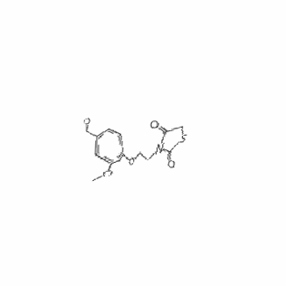 COc1cc(C=O)ccc1OCCN1C(=O)CSC1=O